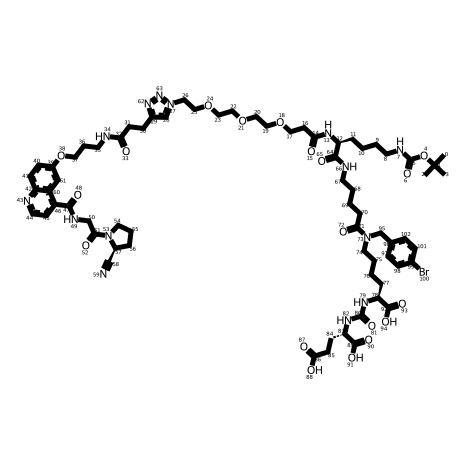 CC(C)(C)OC(=O)NCCCC[C@H](NC(=O)CCOCCOCCOCCn1cc(CCC(=O)NCCCOc2ccc3nccc(C(=O)NCC(=O)N4CCC[C@H]4C#N)c3c2)nn1)C(=O)NCCCCC(=O)N(CCCC[C@H](NC(=O)N[C@@H](CCC(=O)O)C(=O)O)C(=O)O)Cc1ccc(Br)cc1